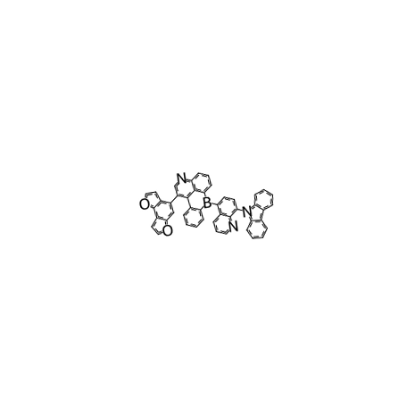 c1ccc2c(c1)B(c1ccc(-n3c4ccccc4c4ccccc43)c3ncccc13)c1cccc3ncc(-c4cc5occc5c5occc45)c-2c13